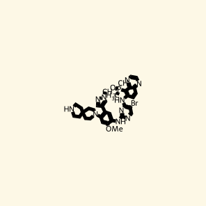 COc1cc(N2CCC3(CCNCC3)CC2)c(-c2cnn(C)c2)cc1Nc1ncc(Br)c(Nc2ccc3nccnc3c2P(C)(C)=O)n1